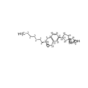 CCCCCCC[C@H]1Cc2ccc([C@H]3CC[C@](N)(CO)C3)cc2CO1